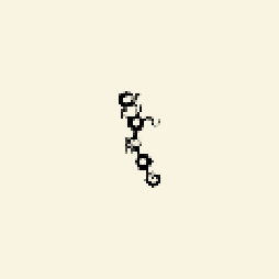 C[n+]1ccccc1Oc1c(F)cc(-c2nc(-c3ccc(N4CCCC4)cc3)ns2)cc1C=O